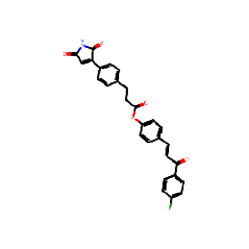 O=C1C=C(c2ccc(CCC(=O)Oc3ccc(C=CC(=O)c4ccc(F)cc4)cc3)cc2)C(=O)N1